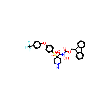 O=C(OCC1c2ccccc2-c2ccccc21)N(O)C(=O)C1(S(=O)(=O)c2ccc(Oc3ccc(C(F)(F)F)cc3)cc2)CCNCC1